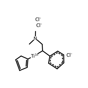 CN(C)C[CH]([Ti+3][C]1=CC=CC1)c1ccccc1.[Cl-].[Cl-].[Cl-]